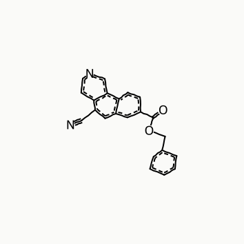 N#Cc1cc2cc(C(=O)OCc3ccccc3)ccc2c2cnccc12